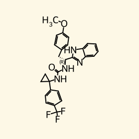 COc1ccc(C[C@@H](NC(=O)NC2(c3ccc(C(F)(F)F)cc3)CC2)c2nc3ccccc3[nH]2)cc1